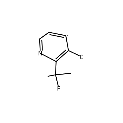 CC(C)(F)c1ncc[c]c1Cl